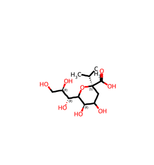 CC(C)[C@]1(C(=O)O)CC(O)[C@@H](O)C([C@H](O)[C@H](O)CO)O1